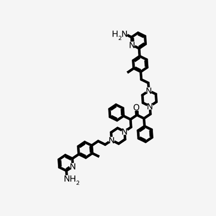 Cc1cc(-c2cccc(N)n2)ccc1CCN1CCN(CC(C(=O)C(CN2CCN(CCc3ccc(-c4cccc(N)n4)cc3C)CC2)c2ccccc2)c2ccccc2)CC1